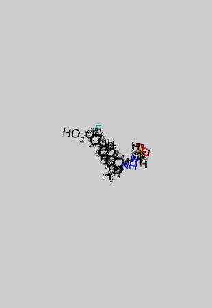 C=C(C)[C@@H]1CC[C@]2(NCCN3C[C@@H]4C[C@H]3CS4(=O)=O)CC[C@]3(C)[C@H](CC[C@@H]4[C@@]5(C)CC=C(C6=CC[C@](CF)(C(=O)O)CC6)C(C)(C)[C@@H]5CC[C@]43C)[C@@H]12